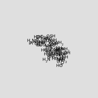 CC[C@H](C)[C@H](NC(=O)[C@@H]1C[C@@H](O)CN1C(=O)[C@@H](N)C(C)C)C(=O)N[C@@H](CCN)C(=O)N[C@@H](Cc1ccc(O)cc1)C(=O)N[C@H](C(=O)N[C@@H](CC(N)=O)C(=O)N[C@@H](CCCNC(=N)N)C(=O)N[C@@H](CCN)C(=O)N[C@H](C(=O)N[C@H](CCN)C(=O)N[C@@H](CCCNC(N)=O)C(=O)N[C@@H](CS)C(=O)N[C@@H](CCN)C(=O)N[C@H](C(=O)N[C@@H](Cc1ccc(O)cc1)C(=O)O)[C@@H](C)O)[C@@H](C)O)C(C)(C)S